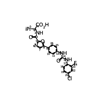 CC(C)[C@H](NC(=O)c1ncc(-c2ccc(NC(=O)Nc3ccc(Cl)cc3F)cc2)o1)C(=O)O